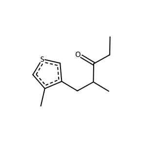 CCC(=O)C(C)Cc1cscc1C